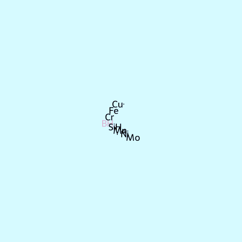 B.[Cr].[Cu].[Fe].[Mn].[Mo].[Ni].[SiH4]